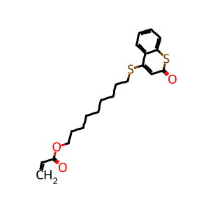 C=CC(=O)OCCCCCCCCCSc1cc(=O)sc2ccccc12